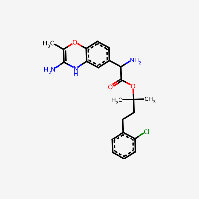 CC1=C(N)Nc2cc(C(N)C(=O)OC(C)(C)CCc3ccccc3Cl)ccc2O1